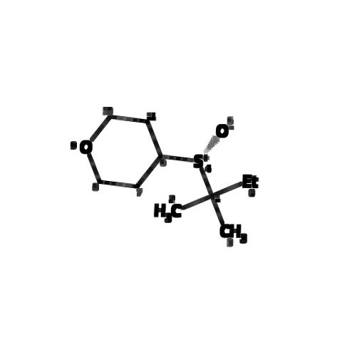 CCC(C)(C)[S@@+]([O-])C1CCOCC1